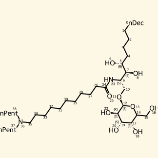 CCCCCCCCCCCCCC[C@@H](O)[C@@H](O)[C@H](CO[C@H]1OC(CO)[C@H](O)[C@H](O)[C@H]1O)NC(=O)CCCCCCCCCCN(CCCCC)CCCCC